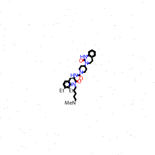 CCc1ccc(C[C@@H](NC(=O)N2CCC(N3CCc4ccccc4NC3=O)CC2)C(=O)NCCCCCNC)cc1CC